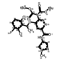 CC(Oc1cc(C(=O)Nc2cnn(C)c2)nnc1N(C(=O)OC(C)(C)C)C(=O)OC(C)(C)C)c1c(Cl)ccc(F)c1Cl